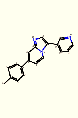 Cc1ccc(-c2ccn3c(-c4cccnc4)cnc3c2)cc1